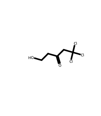 O=C(CCO)CC(Cl)(Cl)Cl